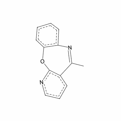 CC1=Nc2ccccc2Oc2ncccc21